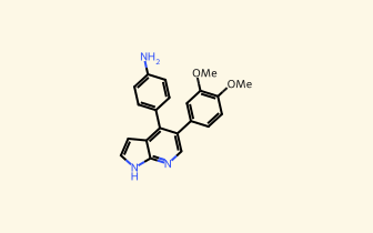 COc1ccc(-c2cnc3[nH]ccc3c2-c2ccc(N)cc2)cc1OC